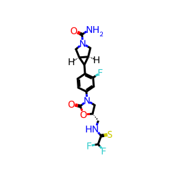 NC(=O)N1C[C@@H]2C(c3ccc(N4C[C@H](CNC(=S)C(F)F)OC4=O)cc3F)[C@@H]2C1